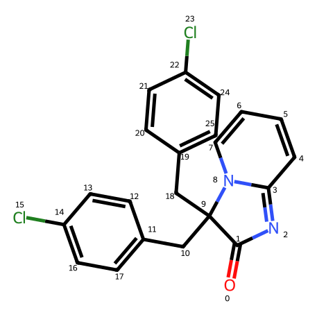 O=C1N=C2C=CC=CN2C1(Cc1ccc(Cl)cc1)Cc1ccc(Cl)cc1